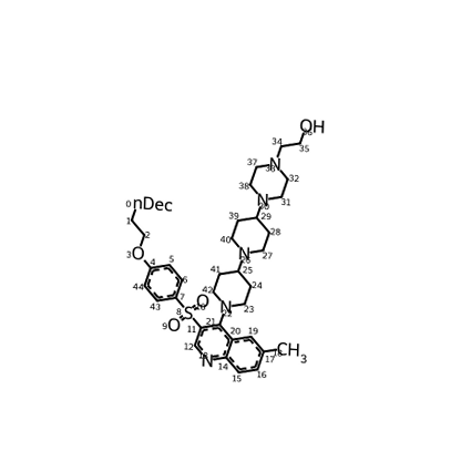 CCCCCCCCCCCCOc1ccc(S(=O)(=O)c2cnc3ccc(C)cc3c2N2CCC(N3CCC(N4CCN(CCO)CC4)CC3)CC2)cc1